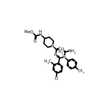 C=C(/N=C(/c1ccc(Cl)cc1C)N(C(N)=O)c1ccc(C(F)(F)F)cc1)N1CCC(NC(=O)OC)CC1